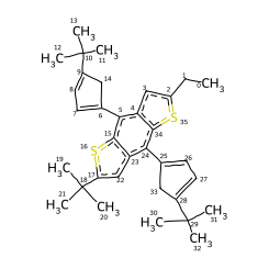 CCc1cc2c(C3=CC=C(C(C)(C)C)C3)c3sc(C(C)(C)C)cc3c(C3=CC=C(C(C)(C)C)C3)c2s1